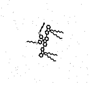 C#CC#CC#COc1ccc(C2(c3ccc(OCCCCCC)cc3)c3cc(-c4ccc5c(c4)C(CCCCCCCC)(CCCCCCCC)c4ccccc4-5)ccc3-c3ccc(-c4ccc5c(c4)C(CCCCCCCC)(CCCCCCCC)c4ccccc4-5)cc32)cc1